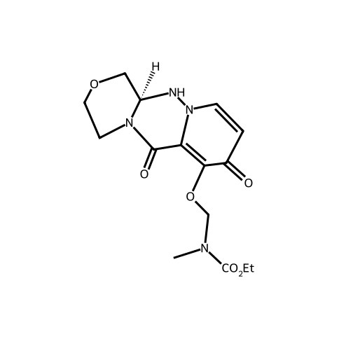 CCOC(=O)N(C)COc1c2n(ccc1=O)N[C@@H]1COCCN1C2=O